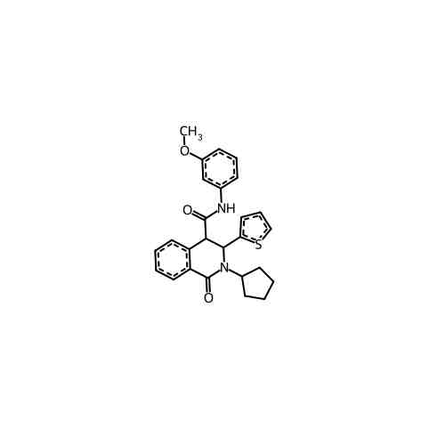 COc1cccc(NC(=O)C2c3ccccc3C(=O)N(C3CCCC3)C2c2cccs2)c1